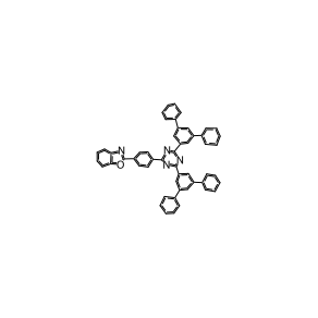 c1ccc(-c2cc(-c3ccccc3)cc(-c3nc(-c4ccc(-c5nc6ccccc6o5)cc4)nc(-c4cc(-c5ccccc5)cc(-c5ccccc5)c4)n3)c2)cc1